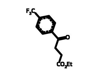 CCOC(=O)CCC(=O)c1ccc(C(F)(F)F)cc1